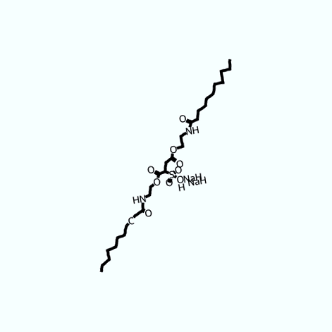 CCCCCCCCCCC(=O)NCCOC(=O)CC(C(=O)OCCNC(=O)CCCCCCCCCC)S(=O)(=O)O.[NaH].[NaH]